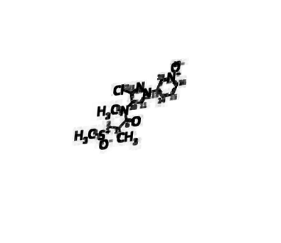 CC(C[S+](C)[O-])C(=O)N(C)c1cn(-c2ccc[n+]([O-])c2)nc1Cl